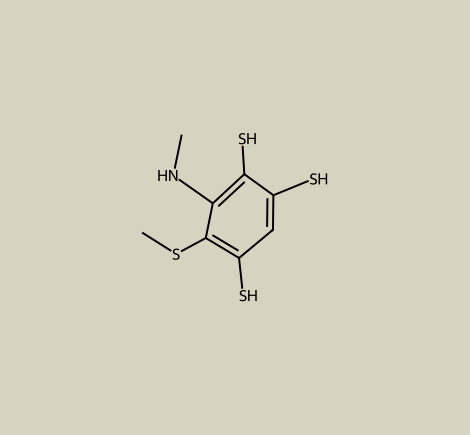 CNc1c(S)c(S)cc(S)c1SC